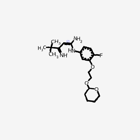 CC(C)(C)C(=N)/C=C(/N)Nc1ccc(F)c(OCCOC2CCCCO2)c1